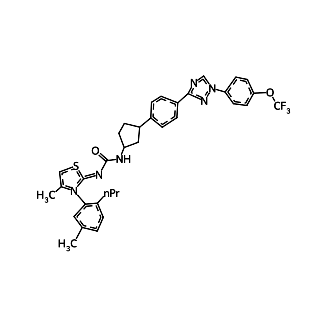 CCCc1ccc(C)cc1-n1c(C)cs/c1=N\C(=O)NC1CCC(c2ccc(-c3ncn(-c4ccc(OC(F)(F)F)cc4)n3)cc2)C1